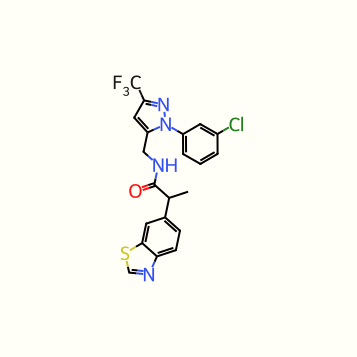 CC(C(=O)NCc1cc(C(F)(F)F)nn1-c1cccc(Cl)c1)c1ccc2ncsc2c1